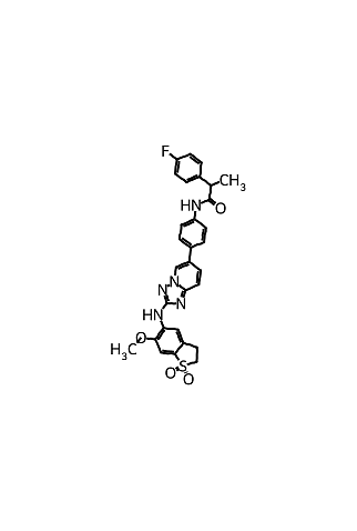 COc1cc2c(cc1Nc1nc3ccc(-c4ccc(NC(=O)C(C)c5ccc(F)cc5)cc4)cn3n1)CCS2(=O)=O